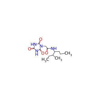 CCCC(NC(=O)Cn1c(=O)[nH]c(=O)[nH]c1=O)C(C)CC